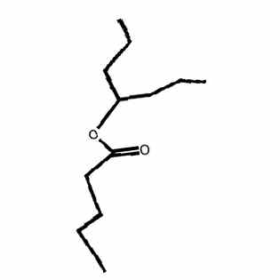 CCCCC(=O)OC(CCC)CCC